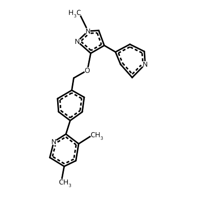 Cc1cnc(-c2ccc(COc3nn(C)cc3-c3ccncc3)cc2)c(C)c1